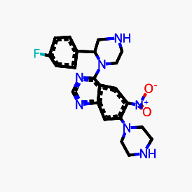 O=[N+]([O-])c1cc2c(N3CCNCC3c3ccc(F)cc3)ncnc2cc1N1CCNCC1